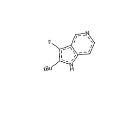 CC(C)(C)c1[nH]c2ccncc2c1F